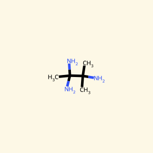 CC(C)(N)C(C)(N)N